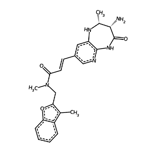 Cc1c(CN(C)C(=O)/C=C/c2cnc3c(c2)N[C@H](C)[C@H](N)C(=O)N3)oc2ccccc12